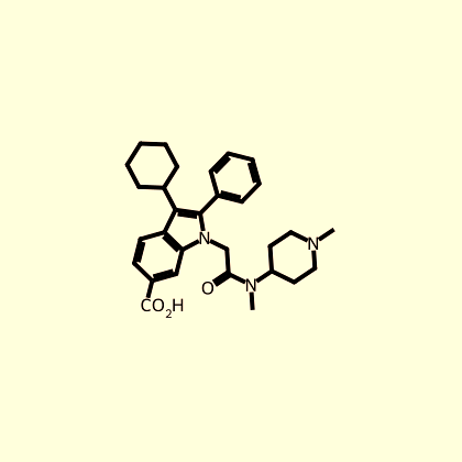 CN1CCC(N(C)C(=O)Cn2c(-c3ccccc3)c(C3CCCCC3)c3ccc(C(=O)O)cc32)CC1